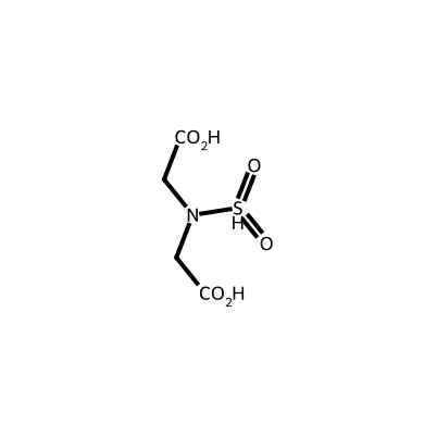 O=C(O)CN(CC(=O)O)[SH](=O)=O